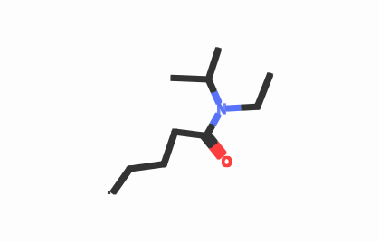 [CH2]CCCC(=O)N(CC)C(C)C